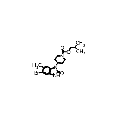 Cc1cc2c(cc1Br)[nH]c(=O)n2C1CCN(C(=O)OCC(C)C)CC1